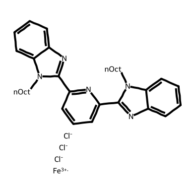 CCCCCCCCn1c(-c2cccc(-c3nc4ccccc4n3CCCCCCCC)n2)nc2ccccc21.[Cl-].[Cl-].[Cl-].[Fe+3]